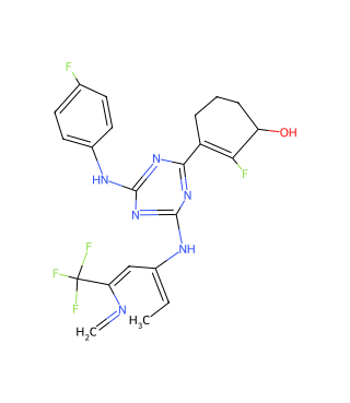 C=N/C(=C\C(=C/C)Nc1nc(Nc2ccc(F)cc2)nc(C2=C(F)C(O)CCC2)n1)C(F)(F)F